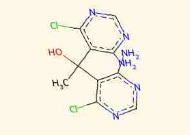 CC(O)(c1c(N)ncnc1Cl)c1c(N)ncnc1Cl